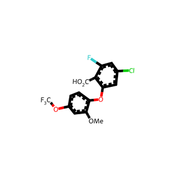 COc1cc(OC(F)(F)F)ccc1Oc1cc(Cl)cc(F)c1C(=O)O